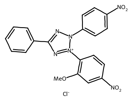 COc1cc([N+](=O)[O-])ccc1-[n+]1nc(-c2ccccc2)nn1-c1ccc([N+](=O)[O-])cc1.[Cl-]